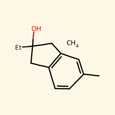 C.CCC1(O)Cc2ccc(C)cc2C1